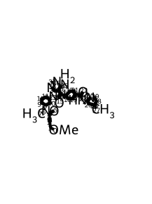 COCC#CC(=O)N(C)c1cccc(-n2c(=O)n(-c3ccc(C(=O)Nc4cc(C)ccn4)cc3)c3c(N)ncnc32)c1